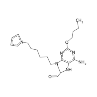 CCCCOc1nc(N)c2c(n1)N(CCCCCCn1cccc1)C(C=O)N2